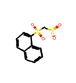 O=[SH](=O)CS(=O)(=O)c1cccc2ccccc12